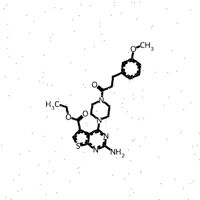 CCOC(=O)c1csc2nc(N)nc(N3CCN(C(=O)CCc4cccc(OC)c4)CC3)c12